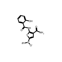 CC(C)[S+]([O-])c1cc(C(N)=O)c(NC(=O)c2ccccc2O)s1